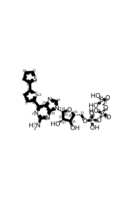 Nc1nc(-c2ccc(-c3cccs3)s2)c2ncn([C@@H]3O[C@H](COP(=O)(O)OP(=O)(O)OP(=O)(O)O)C(O)[C@@H]3O)c2n1